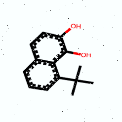 CC(C)(C)c1cccc2ccc(O)c(O)c12